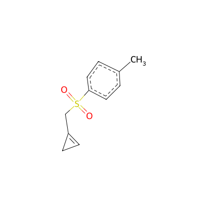 Cc1ccc(S(=O)(=O)CC2=CC2)cc1